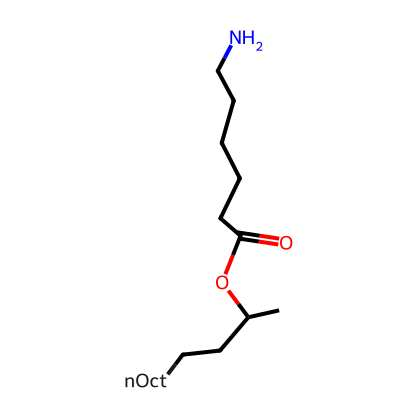 CCCCCCCCCCC(C)OC(=O)CCCCCN